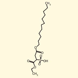 CCCCCCCCCCCCOC(=O)CC(C(=O)OCC)S(=O)(=O)O